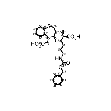 O=C(O)CN1C(=O)[C@@H](NC(CCCCNC(=O)OCc2ccccc2)C(=O)O)CSc2ccccc21